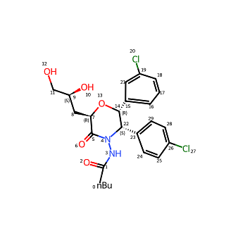 CCCCC(=O)NN1C(=O)[C@@H](C[C@H](O)CO)O[C@H](c2cccc(Cl)c2)[C@@H]1c1ccc(Cl)cc1